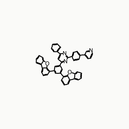 c1ccc(-c2cc(-c3cc(-c4cccc5c4oc4ccccc45)cc(-c4cccc5c4oc4ccccc45)c3)nc(-c3ccc(-c4cccnc4)cc3)n2)cc1